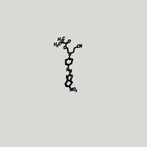 C=C(C)C(=O)OCCN(CCC#N)c1ccc(/N=N/c2nc3ccc([N+](=O)[O-])cc3s2)cc1